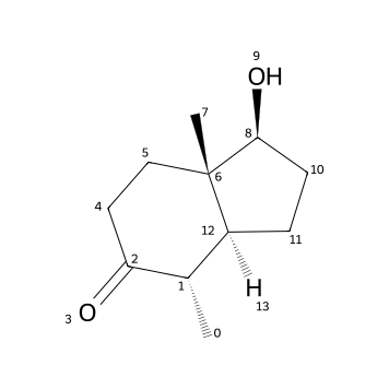 C[C@@H]1C(=O)CC[C@]2(C)[C@@H](O)CC[C@@H]12